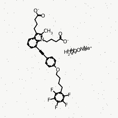 Cc1c(CCCC(=O)[O-])c2cccc(C#Cc3ccc(OCCCCc4c(F)c(F)c(F)c(F)c4F)cc3)c2n1CCCC(=O)[O-].O.O.O.[Na+].[Na+]